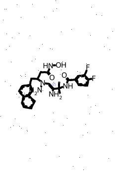 CC(C)(NC(=O)c1ccc(F)c(F)c1)/C(N)=C/N(N)C(CC(=O)NO)Cc1ccc2ccccc2c1